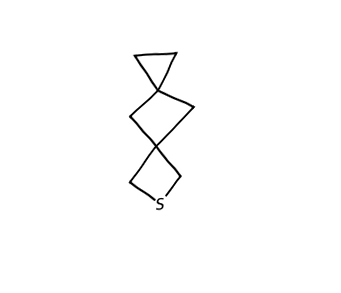 C1CC12CC1(CSC1)C2